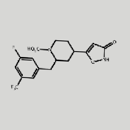 O=C(O)N1CCC(c2cc(=O)[nH]o2)CC1Cc1cc(F)cc(C(F)(F)F)c1